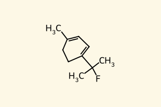 CC1=CC=C(C(C)(C)F)CC1